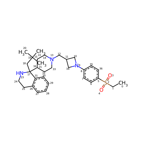 CCS(=O)(=O)c1ccc(N2CC(CN3CCC(C4(CC(C)(C)C)NCCc5ccccc54)CC3)C2)cc1